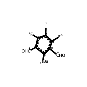 CC(C)(C)c1c(C=O)c(F)c(I)c(F)c1C=O